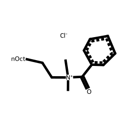 CCCCCCCCCC[N+](C)(C)C(=O)c1ccccc1.[Cl-]